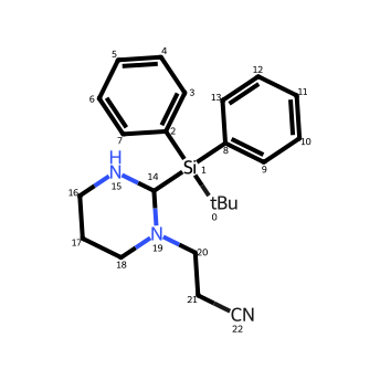 CC(C)(C)[Si](c1ccccc1)(c1ccccc1)C1NCCCN1CCC#N